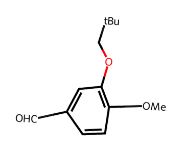 COc1ccc(C=O)cc1OCC(C)(C)C